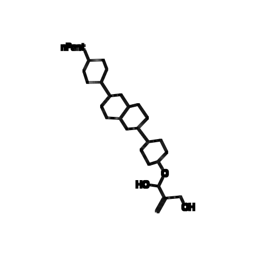 C=C(CO)C(O)OC1CCC(C2CCC3CC(C4CCC(CCCCC)CC4)CCC3C2)CC1